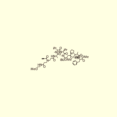 C#CC(=O)N(CCC(=O)NCCOC)CCC(=O)NC(C)C(=O)N(C)C(C(=O)NC(C(=O)N(C)C(C(C)CC)C(CC(=O)N1CCC[C@H]1C(OC)C(C)C(=O)NC(Cc1ccccc1)C(=O)OC)OC)C(C)C)C(C)C